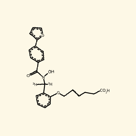 [2H]C([2H])(c1ccccc1OCCCCCC(=O)O)N(O)C(=O)c1ccc(-c2ccco2)cc1